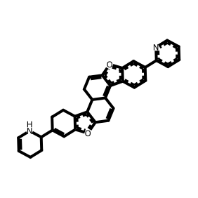 C1=CNC(C2=Cc3oc4c(c3CC2)C2CC=c3oc5cc(-c6ccccn6)ccc5c3=C2C=C4)CC1